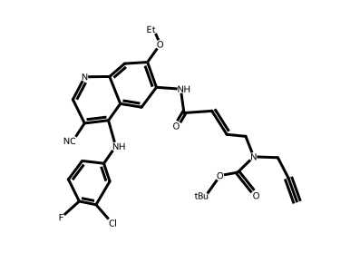 C#CCN(CC=CC(=O)Nc1cc2c(Nc3ccc(F)c(Cl)c3)c(C#N)cnc2cc1OCC)C(=O)OC(C)(C)C